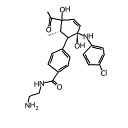 CC(=O)C1(O)C=C[C@](O)(Nc2ccc(Cl)cc2)C(c2ccc(C(=O)NCCN)cc2)[C@@H]1C